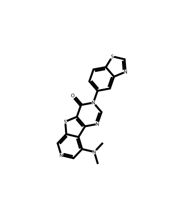 CN(C)c1cncc2sc3c(=O)n(-c4ccc5scnc5c4)cnc3c12